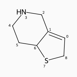 C1=C2CNCCC2SC1